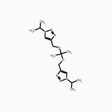 CC(C)n1cc(COC(C)(C)OCc2cn(C(C)C)nn2)nn1